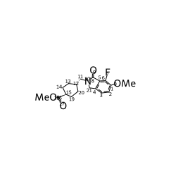 COc1ccc2c(c1F)C(=O)N(C[C@H]1CC[C@H](C(=O)OC)CC1)C2